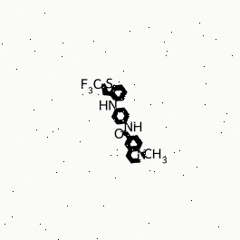 CN1CCCc2cc(C(=O)N[C@H]3CC[C@@H](Nc4cccc5sc(C(F)(F)F)cc45)CC3)ccc21